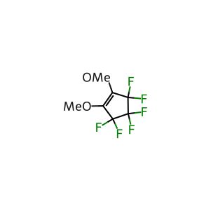 COC1=C(OC)C(F)(F)C(F)(F)C1(F)F